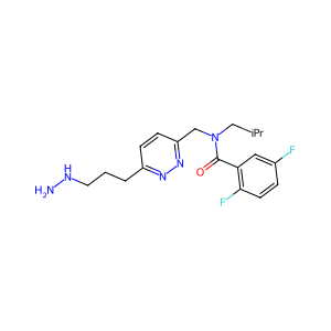 CC(C)CN(Cc1ccc(CCCNN)nn1)C(=O)c1cc(F)ccc1F